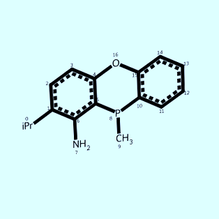 CC(C)c1ccc2c(c1N)P(C)c1ccccc1O2